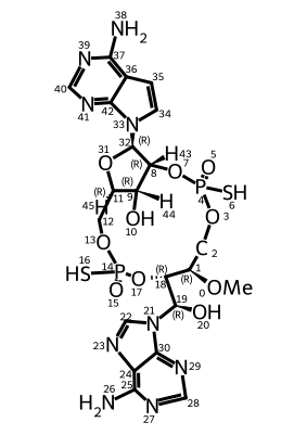 CO[C@@H]1COP(=O)(S)O[C@@H]2[C@H](O)[C@@H](COP(=O)(S)O[C@H]1[C@@H](O)n1cnc3c(N)ncnc31)O[C@H]2n1ccc2c(N)ncnc21